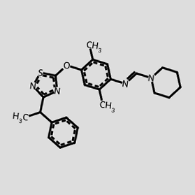 Cc1cc(Oc2nc(C(C)c3ccccc3)ns2)c(C)cc1N=CN1CCCCC1